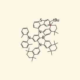 Cc1ccccc1N(c1cc2c3c(c1)N(c1cccc4sc5cc(C(C)(C)C)ccc5c14)c1cc4c(cc1B3c1cc3c(cc1N2c1ccc2c(c1)C(C)(C)CCC2(C)C)C(C)(C)CCC3(C)C)C(C)(C)CCC4(C)C)c1ccccc1C